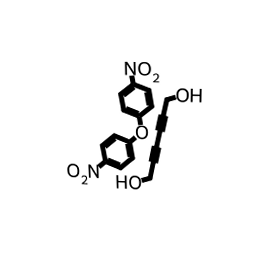 O=[N+]([O-])c1ccc(Oc2ccc([N+](=O)[O-])cc2)cc1.OCC#CC#CCO